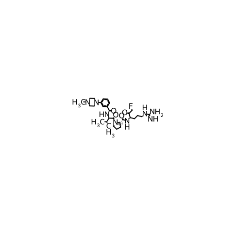 CC(C)C(NC(=O)c1cccc(N2CCN(C)CC2)c1)C(=O)N1CCC[C@H]1C(=O)NC(CCCNC(=N)N)C(=O)CF